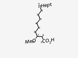 CCCCCCCCCCCCCC(CC(=O)O)OC